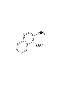 CC(=O)Oc1c(N)cnc2ccccc12